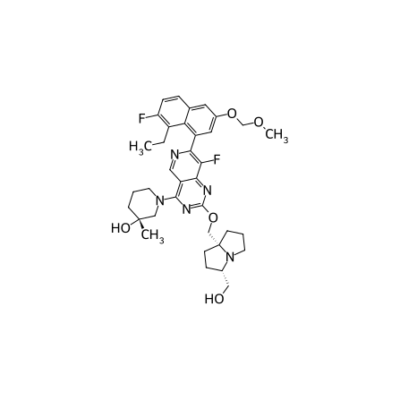 CCc1c(F)ccc2cc(OCOC)cc(-c3ncc4c(N5CCC[C@@](C)(O)C5)nc(OC[C@]56CCCN5[C@H](CO)CC6)nc4c3F)c12